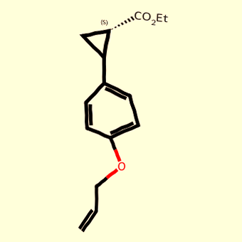 C=CCOc1ccc(C2C[C@@H]2C(=O)OCC)cc1